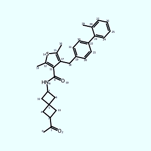 CC(=O)C1CC2(CC(NC(=O)c3c(C)sc(C)c3Cc3ccc(-c4ccccc4C)cc3)C2)C1